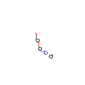 Cc1ccccc1OC1CCN(Cc2ccc(COc3ccc(CCC(=O)O)cc3)cc2)CC1